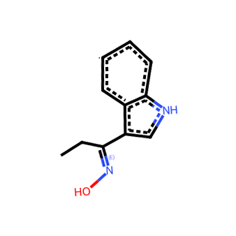 CC/C(=N\O)c1c[nH]c2cc[c]cc12